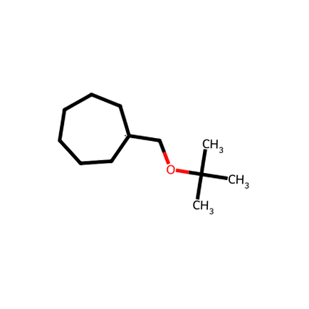 CC(C)(C)OC[C]1CCCCCC1